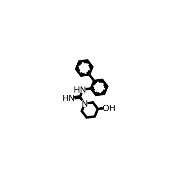 N=C(Nc1ccccc1-c1ccccc1)N1CCCC(O)C1